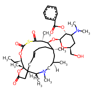 CC[C@H]1OC(=O)SC(=O)[C@H](C)[C@@H](O[C@@H]2O[C@H](CO)CC(N(C)C)[C@H]2OC(=O)c2ccccc2)[C@]2(C)CC/C=C/CC3C(=O)O[C@@]1(C)[C@H]3[C@@H](C)N(C)C[C@H](C)C2